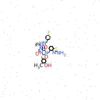 Cc1cc(C[C@H]2C(=O)N(Cc3cccc4sc(N)nc34)C[C@H]3N2C(=O)CN3N(C(=O)NCC2=CCC(F)C=C2)C(C)C)ccc1O